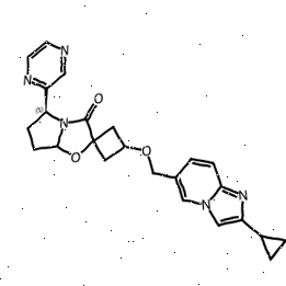 O=C1N2C(CC[C@H]2c2cnccn2)OC12CC(OCc1ccc3nc(C4CC4)cn3c1)C2